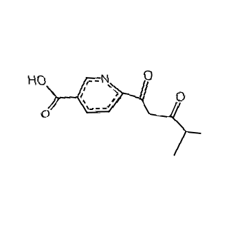 CC(C)C(=O)CC(=O)c1ccc(C(=O)O)cn1